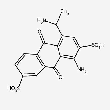 CC(N)c1cc(S(=O)(=O)O)c(N)c2c1C(=O)c1ccc(S(=O)(=O)O)cc1C2=O